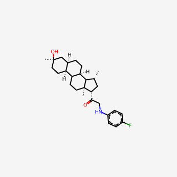 C[C@@H]1C[C@H](C(=O)CNc2ccc(F)cc2)[C@@]2(C)CCC3[C@@H](CC[C@@H]4C[C@](C)(O)CC[C@H]34)C12